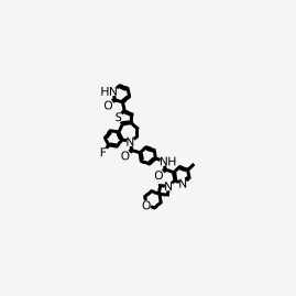 Cc1cnc(N2CC3(CCOCC3)C2)c(C(=O)Nc2ccc(C(=O)N3CCc4cc(-c5ccc[nH]c5=O)sc4-c4ccc(F)cc43)cc2)c1